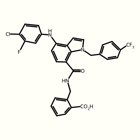 O=C(O)c1ccccc1CNC(=O)c1ccc(Nc2ccc(Cl)c(F)c2)c2ccn(Cc3ccc(C(F)(F)F)cc3)c12